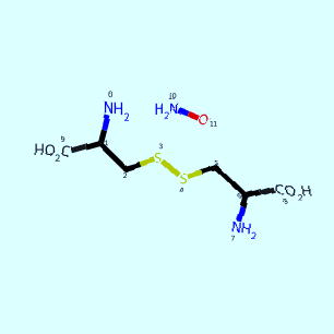 NC(CSSCC(N)C(=O)O)C(=O)O.N[O]